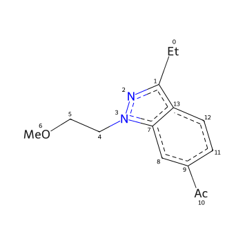 CCc1nn(CCOC)c2cc(C(C)=O)ccc12